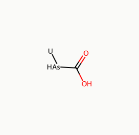 O=C(O)[AsH][U]